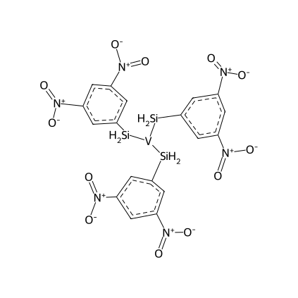 O=[N+]([O-])c1cc([SiH2][V]([SiH2]c2cc([N+](=O)[O-])cc([N+](=O)[O-])c2)[SiH2]c2cc([N+](=O)[O-])cc([N+](=O)[O-])c2)cc([N+](=O)[O-])c1